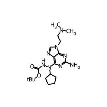 CN(C)CCn1cnc2c(N(NC(=O)OC(C)(C)C)C3CCCC3)nc(N)nc21